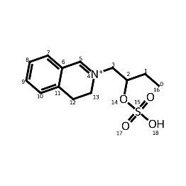 CCC(C[N+]1=Cc2ccccc2CC1)OS(=O)(=O)O